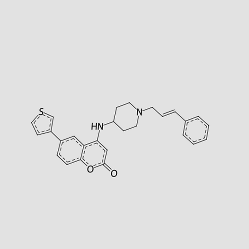 O=c1cc(NC2CCN(CC=Cc3ccccc3)CC2)c2cc(-c3ccsc3)ccc2o1